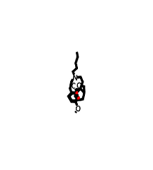 CCCCCN1CCC23c4cc(OC)ccc4CC1CC21CCCC3CO1